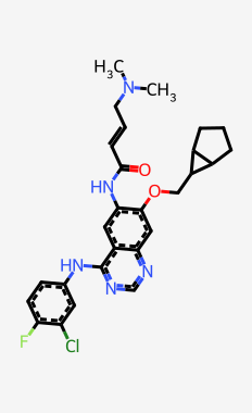 CN(C)C/C=C/C(=O)Nc1cc2c(Nc3ccc(F)c(Cl)c3)ncnc2cc1OCC1C2CCCC21